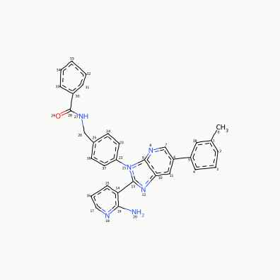 Cc1cccc(-c2cnc3c(c2)nc(-c2cccnc2N)n3-c2ccc(CNC(=O)c3ccccc3)cc2)c1